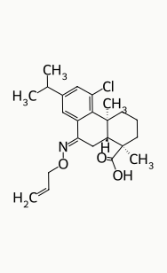 C=CCO/N=C1\C[C@H]2[C@](C)(C(=O)O)CCC[C@]2(C)c2c(Cl)cc(C(C)C)cc21